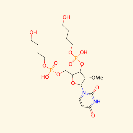 COC1C(OP(=O)(O)OCCCCO)C(COP(=O)(O)OCCCCO)OC1n1ccc(=O)[nH]c1=O